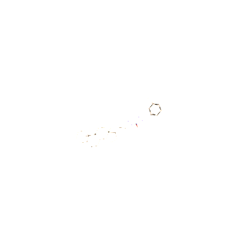 CC[C@H]1CC2C3CCC(CCNC(=O)NSc4cccc(C(C)(C)C)c4)C3(C)CC[C@@H]2C2(C)CCCCC12